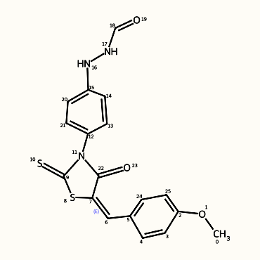 COc1ccc(/C=C2/SC(=S)N(c3ccc(NNC=O)cc3)C2=O)cc1